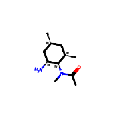 CC(=O)N(C)[C@@H]1[C@H](N)C[C@H](C)C[C@@H]1C